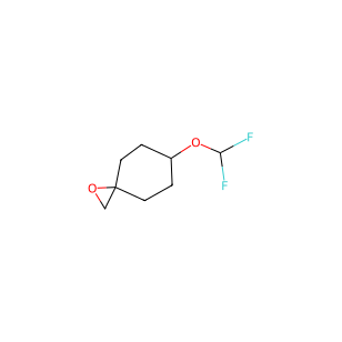 FC(F)OC1CCC2(CC1)CO2